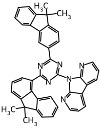 CC1(C)c2ccccc2-c2cc(-c3nc(-c4cccc5c4-c4ccccc4C5(C)C)nc(-n4c5ncccc5c5cccnc54)n3)ccc21